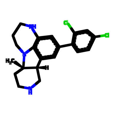 C[C@]12CCNC[C@H]1c1cc(-c3ccc(Cl)cc3Cl)cc3c1N2CCCN3